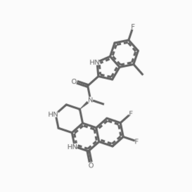 Cc1cc(F)cc2[nH]c(C(=O)N(C)[C@@H]3CNCc4[nH]c(=O)c5cc(F)c(F)cc5c43)cc12